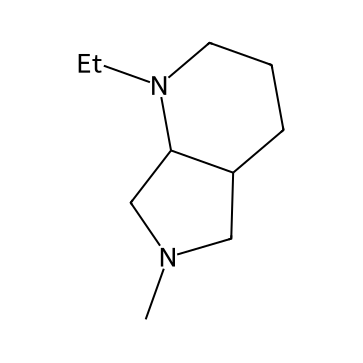 CCN1CCCC2CN(C)CC21